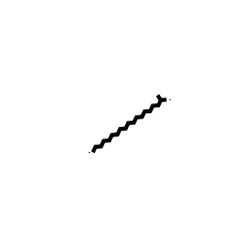 [CH2]CCCCCCCCCCCCCCCCC([CH2])C